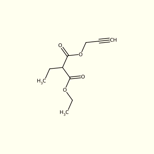 C#CCOC(=O)C(CC)C(=O)OCC